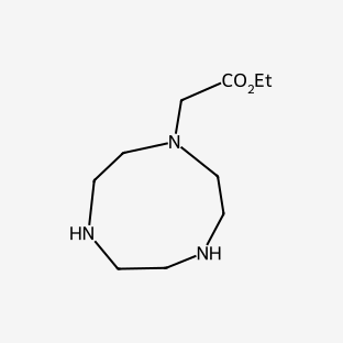 CCOC(=O)CN1CCNCCNCC1